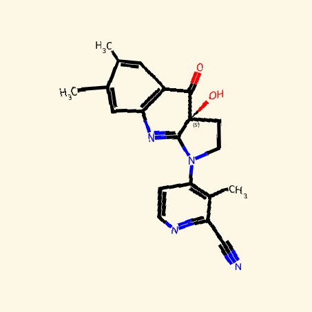 Cc1cc2c(cc1C)C(=O)[C@]1(O)CCN(c3ccnc(C#N)c3C)C1=N2